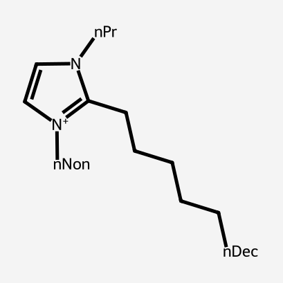 CCCCCCCCCCCCCCCc1n(CCC)cc[n+]1CCCCCCCCC